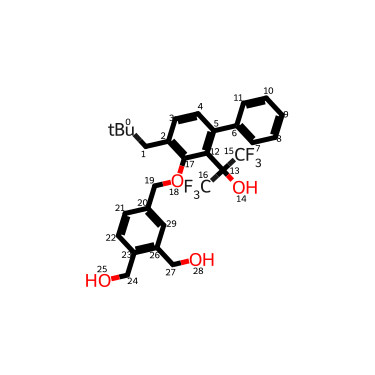 CC(C)(C)Cc1ccc(-c2ccccc2)c(C(O)(C(F)(F)F)C(F)(F)F)c1OCc1ccc(CO)c(CO)c1